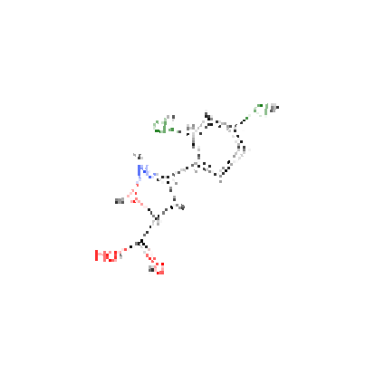 O=C(O)C1CC(c2ccc(Cl)cc2Cl)=NO1